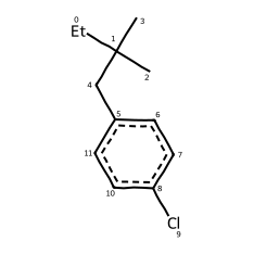 CCC(C)(C)Cc1ccc(Cl)cc1